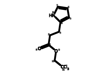 O=C(CCc1ccc[nH]1)OCC(Cl)(Cl)Cl